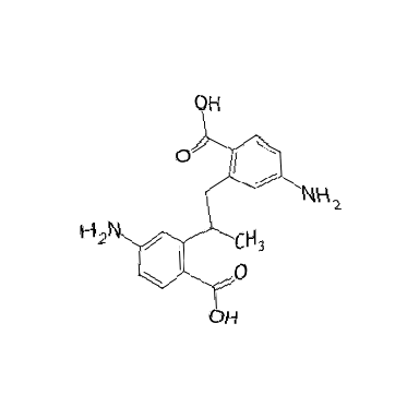 CC(Cc1cc(N)ccc1C(=O)O)c1cc(N)ccc1C(=O)O